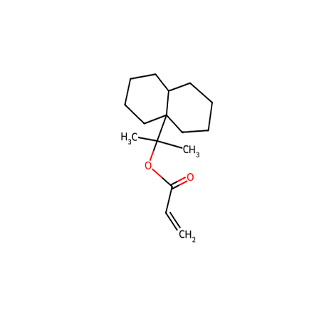 C=CC(=O)OC(C)(C)C12CCCCC1CCCC2